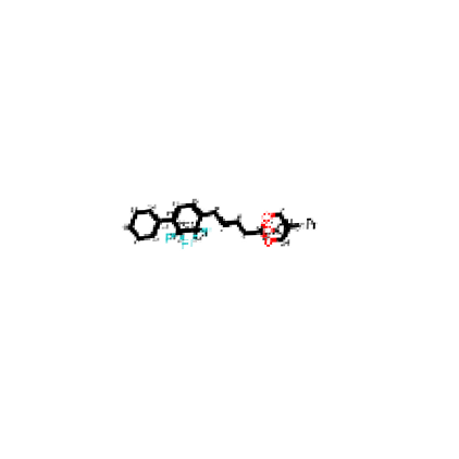 CCCC12COC(CCCCC3=CC=C(C4CCCCC4)C(F)(F)C3(F)F)(OC1)OC2